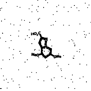 COc1cc(OC)c2cc(C(=O)O)nn2c1